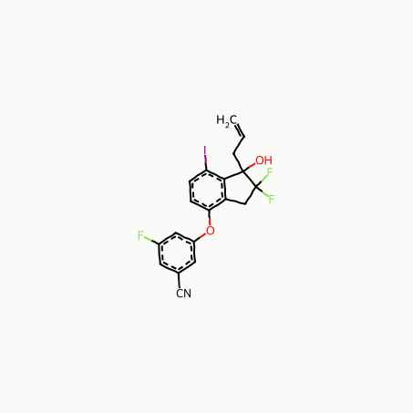 C=CCC1(O)c2c(I)ccc(Oc3cc(F)cc(C#N)c3)c2CC1(F)F